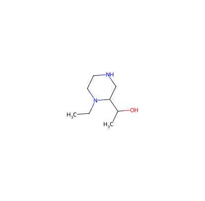 CCN1CCNCC1C(C)O